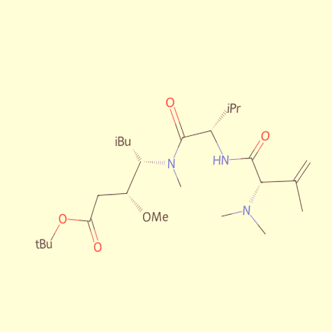 C=C(C)[C@@H](C(=O)N[C@H](C(=O)N(C)[C@@H]([C@@H](C)CC)[C@@H](CC(=O)OC(C)(C)C)OC)C(C)C)N(C)C